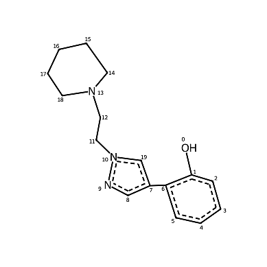 Oc1ccccc1-c1cnn(CCN2CCCCC2)c1